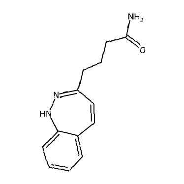 NC(=O)CCCC1=NNc2ccccc2C=C1